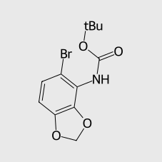 CC(C)(C)OC(=O)Nc1c(Br)ccc2c1OCO2